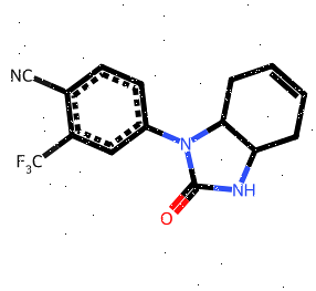 N#Cc1ccc(N2C(=O)NC3CC=CCC32)cc1C(F)(F)F